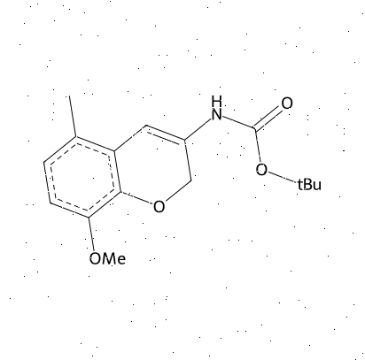 COc1ccc(C)c2c1OCC(NC(=O)OC(C)(C)C)=C2